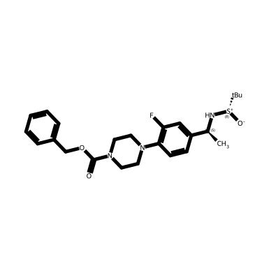 C[C@H](N[S@@+]([O-])C(C)(C)C)c1ccc(N2CCN(C(=O)OCc3ccccc3)CC2)c(F)c1